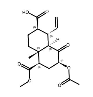 C=C[C@@H]1[C@H]2C(=O)[C@@H](OC(C)=O)C[C@@H](C(=O)OC)[C@]2(C)CC[C@H]1C(=O)O